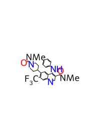 CNC(=O)c1cnc2cc(C(F)(F)F)c(C3CCN(C(=O)NC)CC3)cc2c1Nc1ccccc1